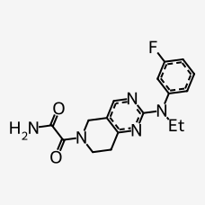 CCN(c1cccc(F)c1)c1ncc2c(n1)CCN(C(=O)C(N)=O)C2